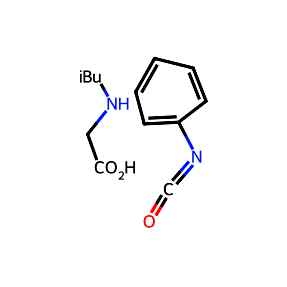 CCC(C)NCC(=O)O.O=C=Nc1ccccc1